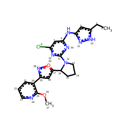 CCc1cc(Nc2cc(Cl)nc(N3CCCC3c3cc(-c4cccnc4OC)no3)n2)n[nH]1